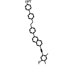 CCCc1ccc(-c2ccc(CCc3ccc(-c4ccc5cc(C#Cc6cc(F)c(C)cc6C)ccc5c4)cc3)cc2)cc1